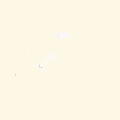 COC(=O)C(N)Cc1nn(C(=O)O)c2ccccc12